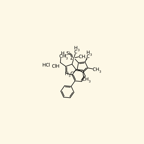 CCC1=Cc2c(-c3ccccc3)cccc2[CH]1[Zr]([CH3])([CH3])(=[SiH2])[C]1=C(C)C(C)=C(C)C1C.Cl.Cl